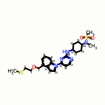 CSCCOCc1cccc2c1ccn2-c1ccnc(NC2CCC(N(C)S(C)(=O)=O)CC2)n1